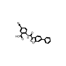 N#Cc1ccc(NC(=O)c2noc3cc(-c4ccccc4)ccc23)c(C(=O)O)c1